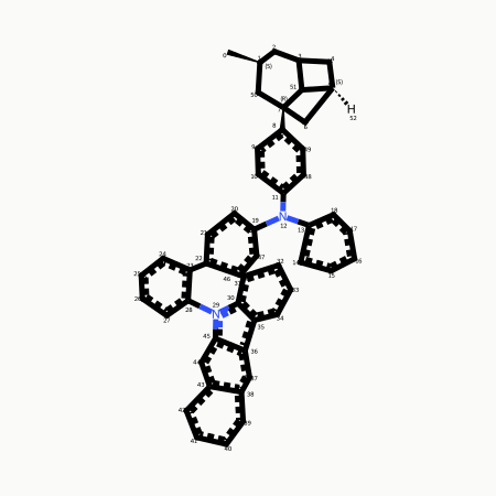 C[C@H]1CC2C[C@H]3C[C@](c4ccc(N(c5ccccc5)c5ccc(-c6ccccc6-n6c7ccccc7c7cc8ccccc8cc76)cc5)cc4)(C1)C23